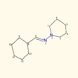 C(=N\N1CCCCC1)/C1CCCCC1